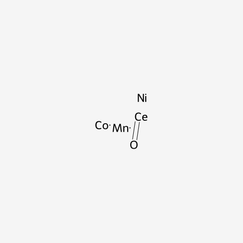 [Co].[Mn].[Ni].[O]=[Ce]